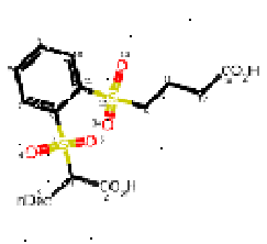 CCCCCCCCCCC(C(=O)O)S(=O)(=O)c1ccccc1S(=O)(=O)CCCC(=O)O